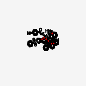 N#Cc1ccc(C(=O)CSC2=NC(C(c3c[nH]cn3)C(c3ccccc3)(c3ccccc3)c3ccccc3)(C(c3c[nH]cn3)C(c3ccccc3)(c3ccccc3)c3ccccc3)C(=O)N2C2C3CN(S(=O)(=O)c4ccccc4)CC32)cc1